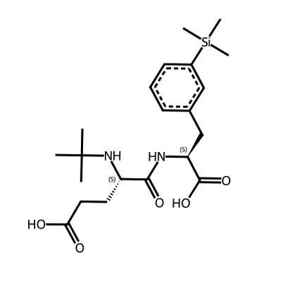 CC(C)(C)N[C@@H](CCC(=O)O)C(=O)N[C@@H](Cc1cccc([Si](C)(C)C)c1)C(=O)O